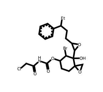 CCC(CCC1OC1C1(O)C(Br)C(OC(=O)NC(=O)CCl)CCC12CO2)c1ccccc1